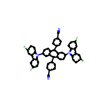 N#Cc1ccc(-c2c3ccc(-n4c5ccc(F)cc5c5cc(F)ccc54)cc3c(-c3ccc(C#N)cc3)c3ccc(-n4c5ccc(F)cc5c5cc(F)ccc54)cc23)cc1